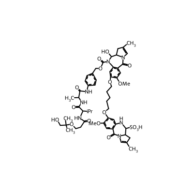 COc1cc2c(cc1OCCCCCOc1cc3c(cc1OC)C(=O)N1C=C(C)CC1C(O)N3C(=O)OCc1ccc(NC(=O)C(C)NC(=O)C(NC(=O)CCOC(C)(C)CO)C(C)C)cc1)NC(S(=O)(=O)O)C1CC(C)=CN1C2=O